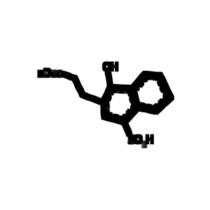 CCCCCCCCCCCCc1cc(S(=O)(=O)O)c2ccccc2c1O